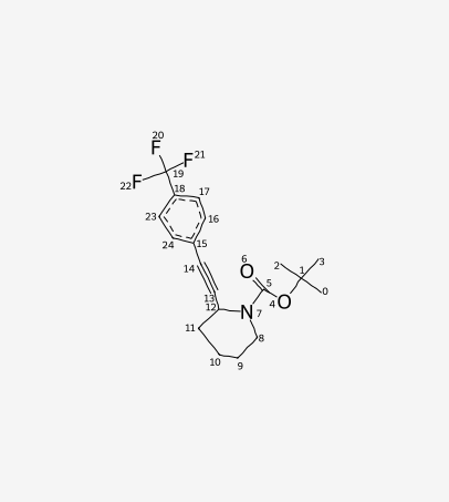 CC(C)(C)OC(=O)N1CCCCC1C#Cc1ccc(C(F)(F)F)cc1